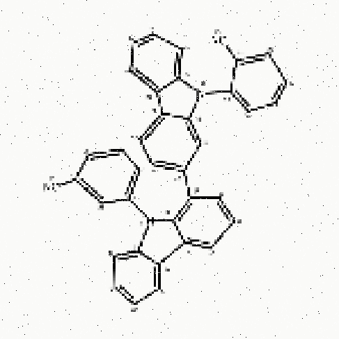 N#Cc1cccc(-n2c3ccccc3c3cccc(-c4ccc5c6ccccc6n(-c6ccccc6C#N)c5c4)c32)c1